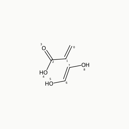 C=CC(=O)O.OC=CO